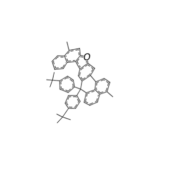 Cc1ccc2c3c(cccc13)C(c1ccc(C(C)(C)C)cc1)(c1ccc(C(C)(C)C)cc1)c1cc3c(cc1-2)oc1cc(C)c2ccccc2c13